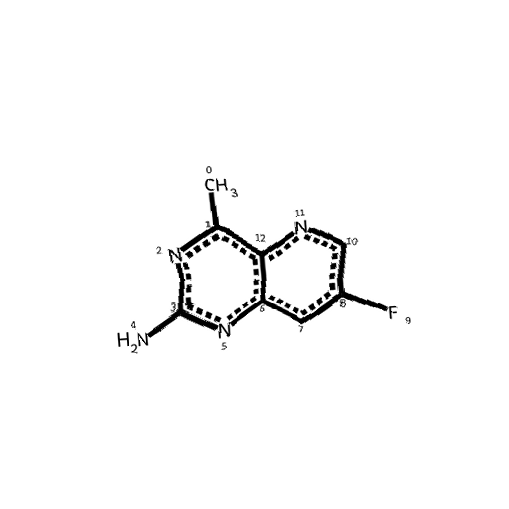 Cc1nc(N)nc2cc(F)cnc12